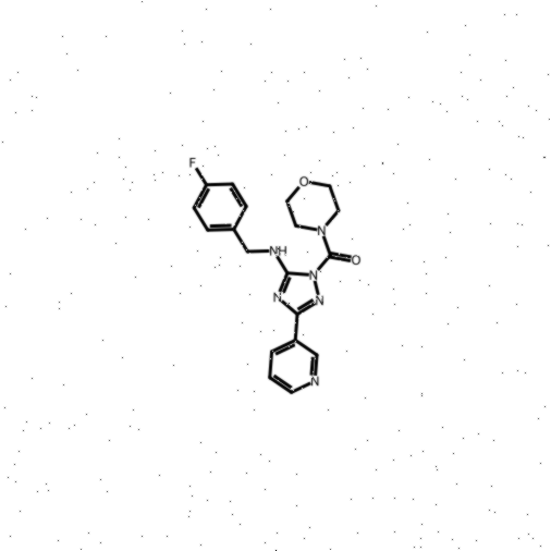 O=C(N1CCOCC1)n1nc(-c2cccnc2)nc1NCc1ccc(F)cc1